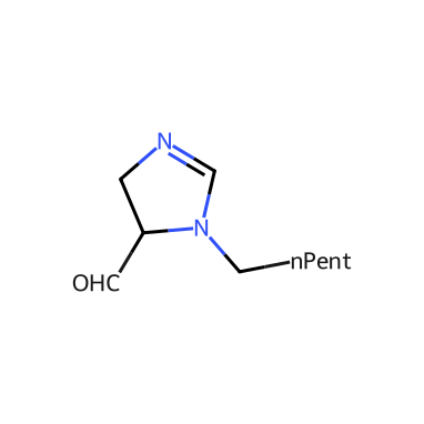 CCCCCCN1C=NCC1C=O